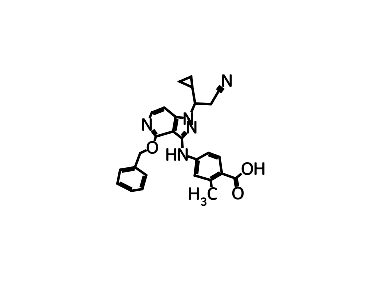 Cc1cc(Nc2nn(C(CC#N)C3CC3)c3ccnc(OCc4ccccc4)c23)ccc1C(=O)O